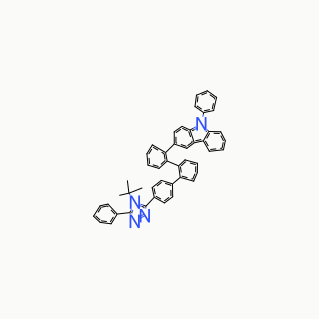 CC(C)(C)n1c(-c2ccccc2)nnc1-c1ccc(-c2ccccc2-c2ccccc2-c2ccc3c(c2)c2ccccc2n3-c2ccccc2)cc1